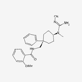 COc1ccccc1C(=O)NC[C@]1(c2ccccc2)CC[C@H](N(C)C(N)=NC#N)CC1